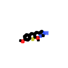 COC(=S)C(Cc1ccc(OC)cc1)Cc1c[nH]cn1